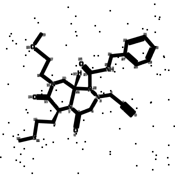 C#CCN1CC(=O)N2[C@@H](CCSC)C(=O)N(CCOC)C[C@@H]2N1C(=O)NCc1ccccc1